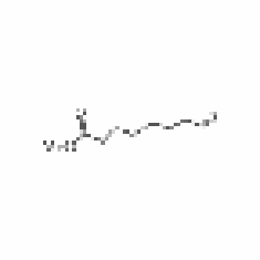 COC(=O)CCCCCCC=S